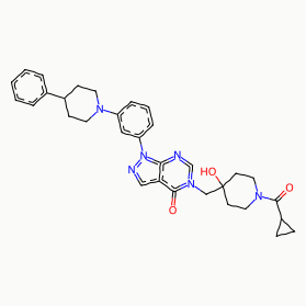 O=C(C1CC1)N1CCC(O)(Cn2cnc3c(cnn3-c3cccc(N4CCC(c5ccccc5)CC4)c3)c2=O)CC1